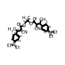 CCN(CC)c1ccc(/C(C)=C(\C#N)C(=O)OCC(C)OC(=O)/C(C#N)=C(\C)c2ccc(N(CC)CC)cc2)cc1